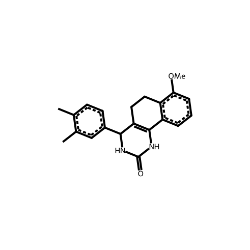 COc1cccc2c1CCC1=C2NC(=O)NC1c1ccc(C)c(C)c1